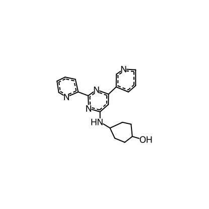 OC1CCC(Nc2cc(-c3cccnc3)nc(-c3ccccn3)n2)CC1